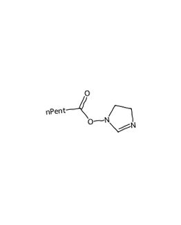 CCCCCC(=O)ON1C=NCC1